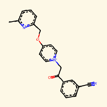 Cc1cccc(COc2cc[n+](CC(=O)c3cccc(C#N)c3)cc2)n1